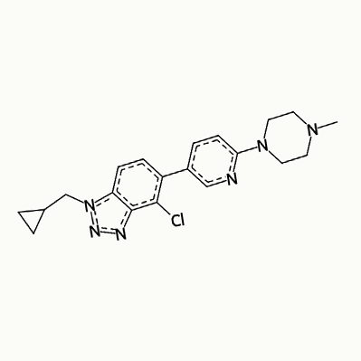 CN1CCN(c2ccc(-c3ccc4c(nnn4CC4CC4)c3Cl)cn2)CC1